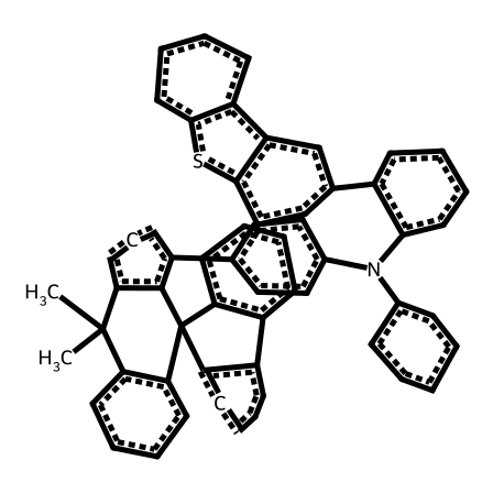 CC1(C)c2ccccc2C2(c3ccccc3-c3ccccc32)c2c(-c3ccc(N(c4ccccc4)c4ccccc4-c4ccc5sc6ccccc6c5c4)cc3)cccc21